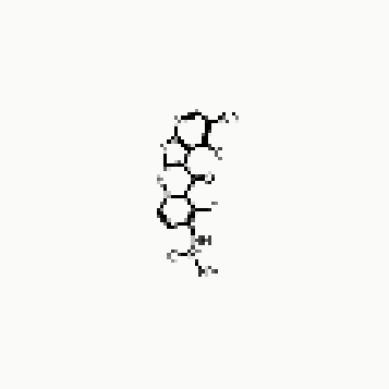 CCC[S+]([O-])Nc1ccc(F)c(C(=O)c2c[nH]c3ncc(C#N)c(Cl)c23)c1F